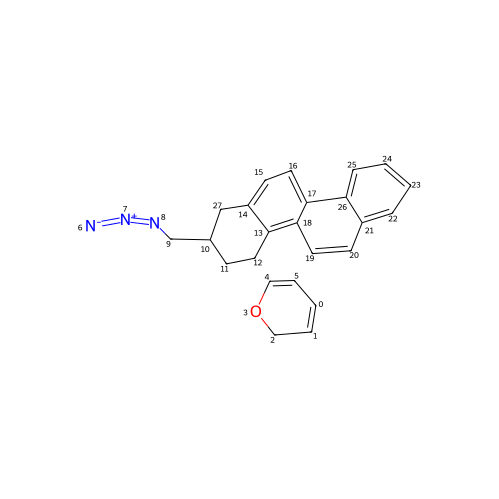 C1=CCOC=C1.[N-]=[N+]=NCC1CCc2c(ccc3c2ccc2ccccc23)C1